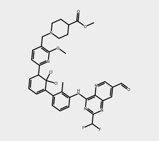 COC(=O)C1CCN(Cc2ccc(C3C=CC=C(c4cccc(Nc5nc(C(F)F)nc6cc(C=O)cnc56)c4C)C3(Cl)Cl)nc2OC)CC1